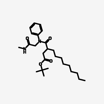 CCCCCCCCCC(CC(=O)OC(C)(C)C)C(=O)N(CC(=O)NC)c1ccccc1